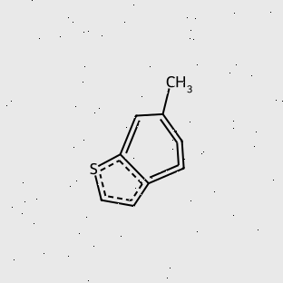 CC1=C=C=c2ccsc2=C1